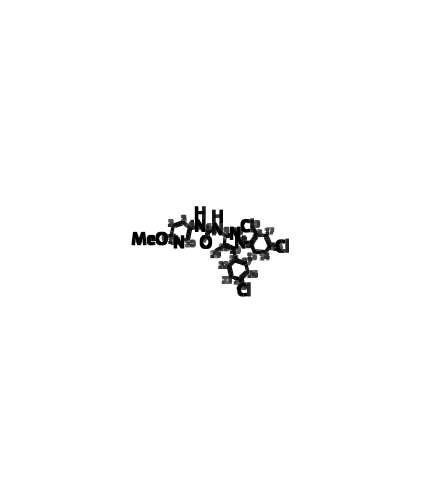 COc1ccc(NC(=O)Nc2nn(-c3ccc(Cl)cc3Cl)c(-c3ccc(Cl)cc3)c2C)cn1